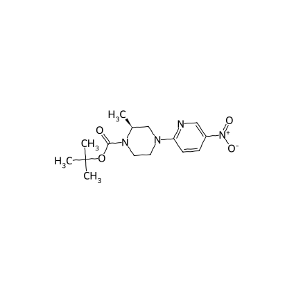 C[C@H]1CN(c2ccc([N+](=O)[O-])cn2)CCN1C(=O)OC(C)(C)C